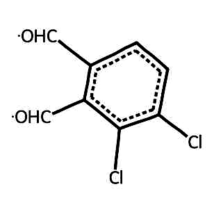 O=[C]c1ccc(Cl)c(Cl)c1[C]=O